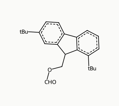 CC(C)(C)c1ccc2c(c1)C(COC=O)c1c-2cccc1C(C)(C)C